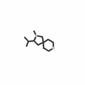 CC(C)C1CC2(CCOCC2)CN1C